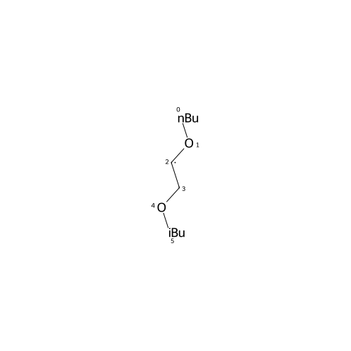 CCCCO[CH]COC(C)CC